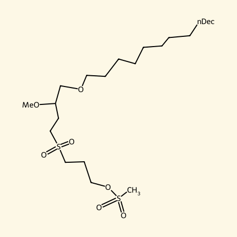 CCCCCCCCCCCCCCCCCCOCC(CCS(=O)(=O)CCCOS(C)(=O)=O)OC